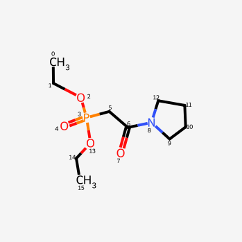 CCOP(=O)(CC(=O)N1CCCC1)OCC